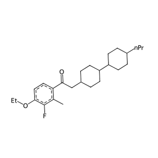 CCCC1CCC(C2CCC(CC(=O)c3ccc(OCC)c(F)c3C)CC2)CC1